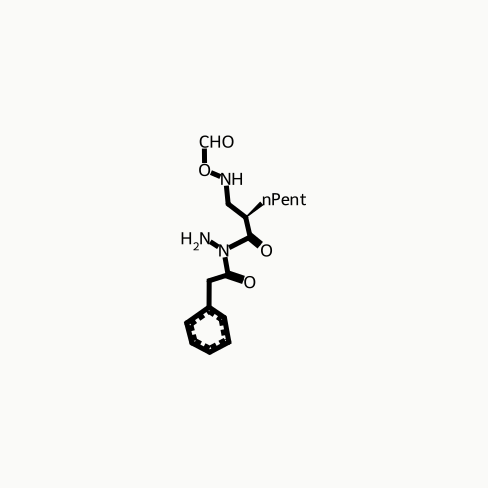 CCCCC[C@H](CNOC=O)C(=O)N(N)C(=O)Cc1ccccc1